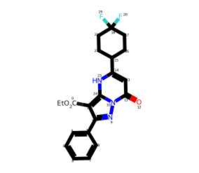 CCOC(=O)c1c(-c2ccccc2)nn2c(=O)cc(C3CCC(F)(F)CC3)[nH]c12